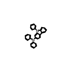 c1ccc(N(c2ccccc2)c2ccc3c4ccccc4n(-c4ccccc4)c3c2)cc1